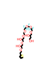 OCCC(O)COCC(F)(F)OC(F)(F)OC(F)(F)COCCOCC(O)COCC(O)COCCc1cccs1